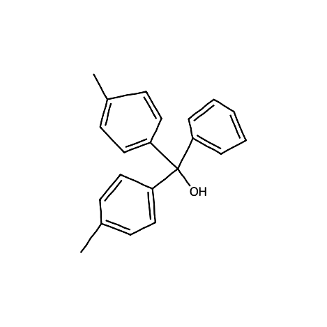 Cc1ccc(C(O)(c2ccccc2)c2ccc(C)cc2)cc1